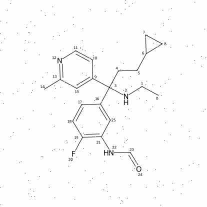 CCNC(CCC1CC1)(c1ccnc(C)c1)c1ccc(F)c(NC=O)c1